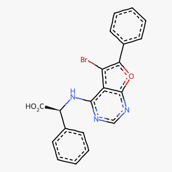 O=C(O)[C@@H](Nc1ncnc2oc(-c3ccccc3)c(Br)c12)c1ccccc1